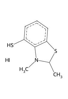 CC1Sc2cccc(S)c2N1C.I